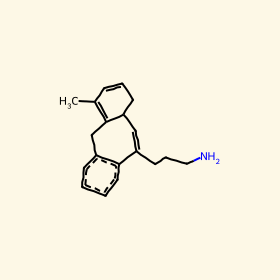 CC1=C2Cc3ccccc3C(CCCN)=CC2CC=C1